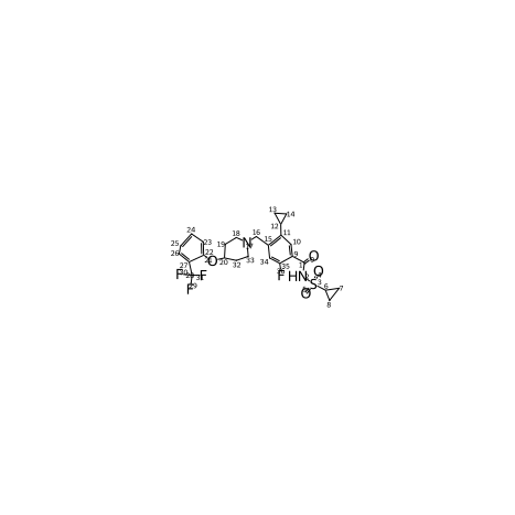 O=C(NS(=O)(=O)C1CC1)c1cc(C2CC2)c(CN2CCC(Oc3ccccc3C(F)(F)F)CC2)cc1F